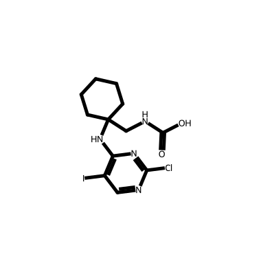 O=C(O)NCC1(Nc2nc(Cl)ncc2I)CCCCC1